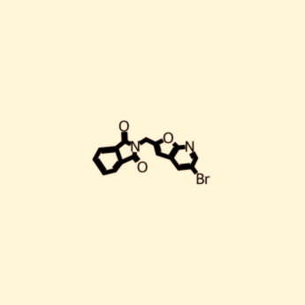 O=C1c2ccccc2C(=O)N1Cc1cc2cc(Br)cnc2o1